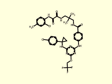 Cc1ccc(NC(=O)C(=O)NCC(C)(C)CNC(=O)c2ccc(Nc3nc(NC4(c5ccc(Cl)cc5)CC4)nc(OCC(F)(F)F)n3)cc2)c(Cl)c1